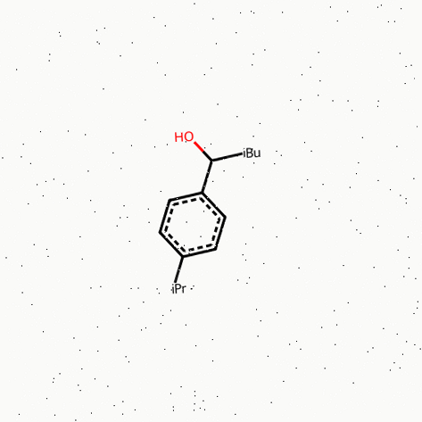 CCC(C)C(O)c1ccc(C(C)C)cc1